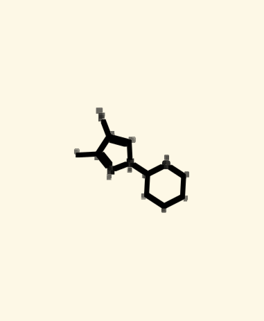 Cc1nn(C2CCCCO2)cc1F